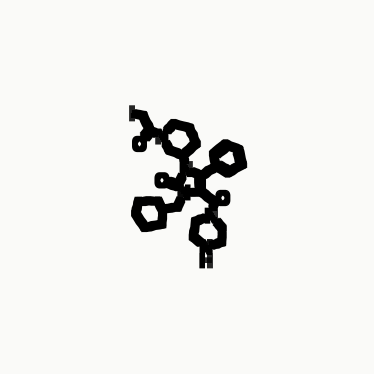 O=C(CI)N1CCCC(n2c(-c3ccccc3)c(C(=O)N3CCNCC3)n(CC3CCCCC3)c2=O)C1